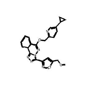 COCc1cc(-c2nnc3n2N=C(OCc2ccc(C4CC4)cn2)C2=CC=CCC23)no1